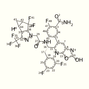 NC(=O)c1cc(-c2cc3nc(O)oc3nc2[C@H](Cc2cc(F)cc(F)c2)NC(=O)Cn2nc(C(F)(F)F)c3c2C(F)(F)C2C[C@H]32)ccc1F